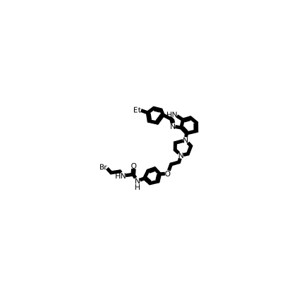 CCc1ccc(-c2nc3c(N4CCN(CCOc5ccc(NC(=O)NCCBr)cc5)CC4)cccc3[nH]2)cc1